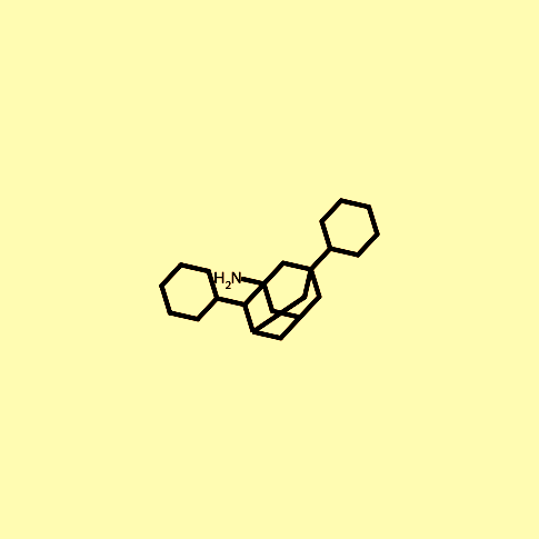 NC12CC3CC(CC(C4CCCCC4)(C3)C1)C2C1CCCCC1